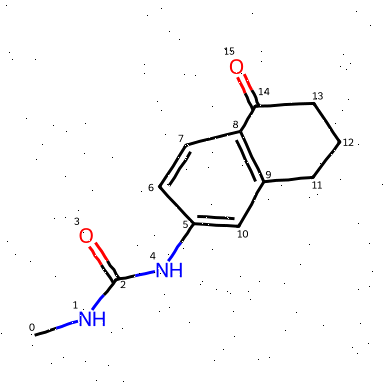 CNC(=O)Nc1ccc2c(c1)CCCC2=O